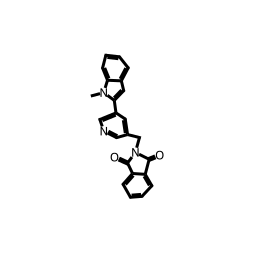 Cn1c(-c2cncc(CN3C(=O)c4ccccc4C3=O)c2)cc2ccccc21